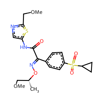 COCc1ncc(NC(=O)/C(=N/O[C@H](C)COC)c2ccc(S(=O)(=O)C3CC3)cc2)s1